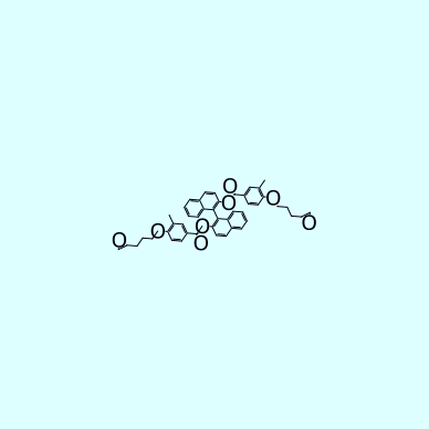 Cc1cc(C(=O)Oc2ccc3ccccc3c2-c2c(OC(=O)c3ccc(OCCCC4CO4)c(C)c3)ccc3ccccc23)ccc1OCCCC1CO1